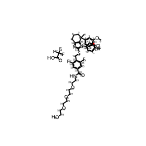 COc1cc(C2(C)CCCc3nc(SCc4c(F)cc(C(=O)NCCOCCOCCOCCO)cc4F)n(-c4ccc(F)cc4)c32)ccc1Cl.O=C(O)C(F)(F)F